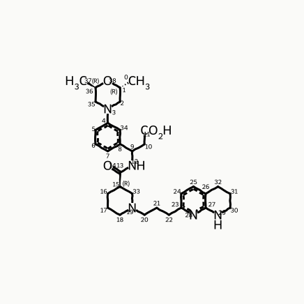 C[C@@H]1CN(c2cccc(C(CC(=O)O)NC(=O)[C@@H]3CCCN(CCCc4ccc5c(n4)NCCC5)C3)c2)C[C@@H](C)O1